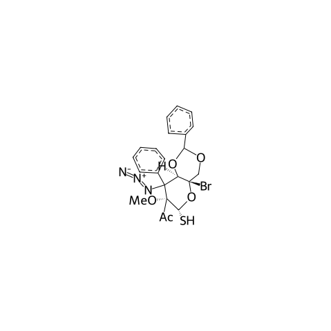 CO[C@@]1(C(C)=O)[C@@H](S)O[C@@]2(Br)COC(c3ccccc3)O[C@@H]2C1(N=[N+]=[N-])c1ccccc1